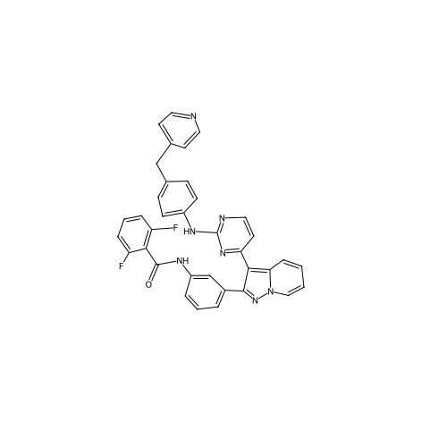 O=C(Nc1cccc(-c2nn3ccccc3c2-c2ccnc(Nc3ccc(Cc4ccncc4)cc3)n2)c1)c1c(F)cccc1F